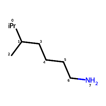 CC(C)C(C)CCCCN